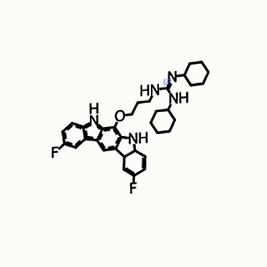 FC1=CC2c3cc4c([nH]c5ccc(F)cc54)c(OCCCN/C(=N/C4CCCCC4)NC4CCCCC4)c3NC2C=C1